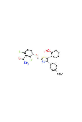 COc1ccc(-c2nc(COc3ccc(F)c(C(N)=O)c3F)sc2-c2ccccc2O)cc1